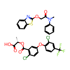 CN(C(=O)COc1nc2ccccc2s1)c1ccccc1.C[C@H](OC(=O)c1cc(Oc2ccc(C(F)(F)F)cc2Cl)ccc1Cl)C(=O)O